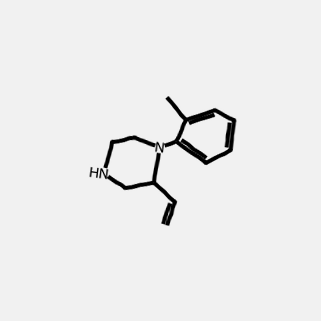 C=CC1CNCCN1c1ccccc1C